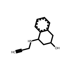 C#CCNC1CC(O)Cc2ccccc21